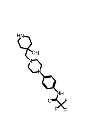 O=C(Nc1ccc(N2CCN(CC3(O)CCNCC3)CC2)cc1)C(F)(F)F